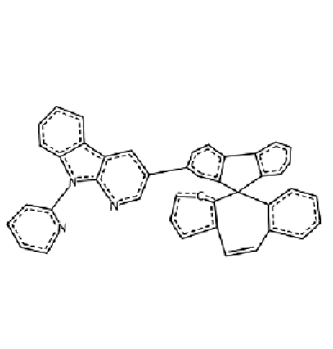 C1=Cc2ccccc2C2(c3ccccc31)c1ccccc1-c1ccc(-c3cnc4c(c3)c3ccccc3n4-c3ccccn3)cc12